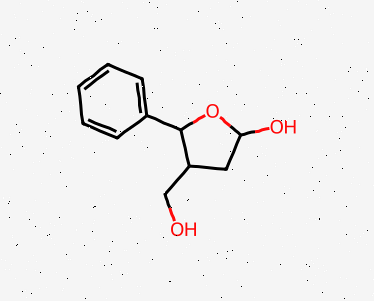 OCC1CC(O)OC1c1ccccc1